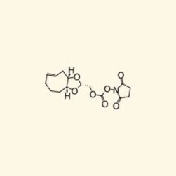 O=C(OC[C@H]1O[C@H]2C/C=C/CCC[C@H]2O1)ON1C(=O)CCC1=O